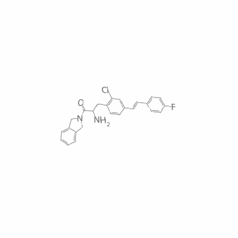 NC(Cc1ccc(/C=C/c2ccc(F)cc2)cc1Cl)C(=O)N1Cc2ccccc2C1